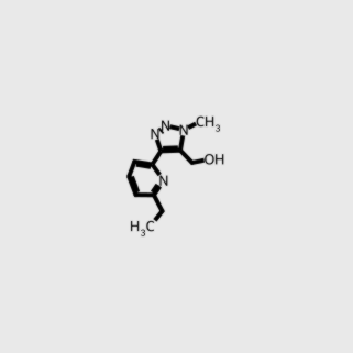 CCc1cccc(-c2nnn(C)c2CO)n1